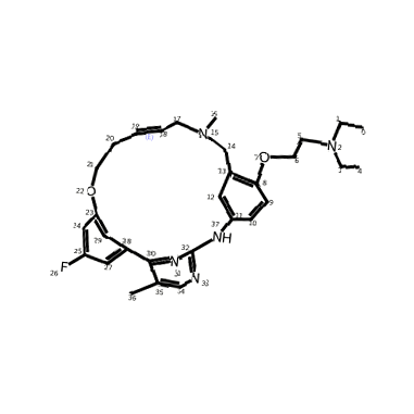 CCN(CC)CCOc1ccc2cc1CN(C)C/C=C/CCOc1cc(F)cc(c1)-c1nc(ncc1C)N2